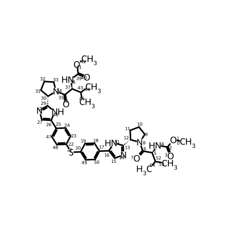 COC(=O)N[C@H](C(=O)N1CCC[C@H]1c1ncc(-c2ccc(Sc3ccc(-c4cnc([C@@H]5CCCN5C(=O)[C@@H](NC(=O)OC)C(C)C)[nH]4)cc3)cc2)[nH]1)C(C)C